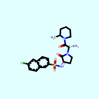 CC1CCCCN1C(=O)[C@H](C)N1CC[C@H](NS(=O)(=O)c2ccc3cc(Cl)ccc3c2)C1=O